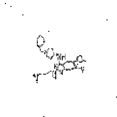 COc1cc2nc(NCCCN(C)C)nc(NC3CCN(Cc4ccccc4)CC3)c2cc1OC